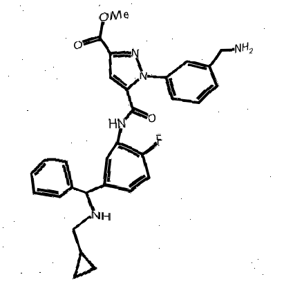 COC(=O)c1cc(C(=O)Nc2cc(C(NCC3CC3)c3ccccc3)ccc2F)n(-c2cccc(CN)c2)n1